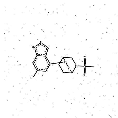 CS(=O)(=O)N1CC2CCC1CN2c1cc(Cl)cc2[nH]ncc12